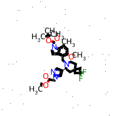 CCOC(=O)Cn1cc([C@H]2CC3(CCN2Cc2c(OC)cc(C)c4c2ccn4C(=O)OC(C)(C)C)CC(F)(F)C3)cn1